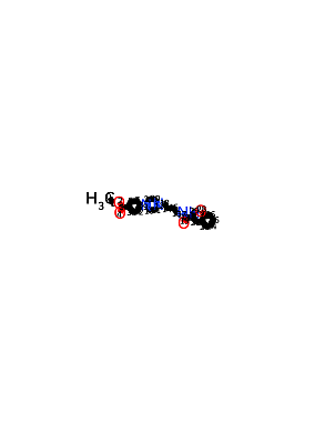 CCOC(=O)c1ccc(N2CCN(CCCCNC(=O)C3=Cc4ccccc4OC3)CC2)cc1